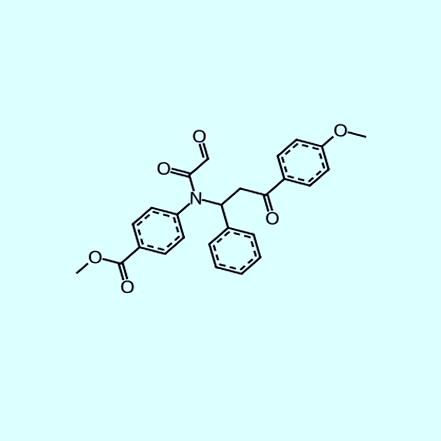 COC(=O)c1ccc(N(C(=O)C=O)C(CC(=O)c2ccc(OC)cc2)c2ccccc2)cc1